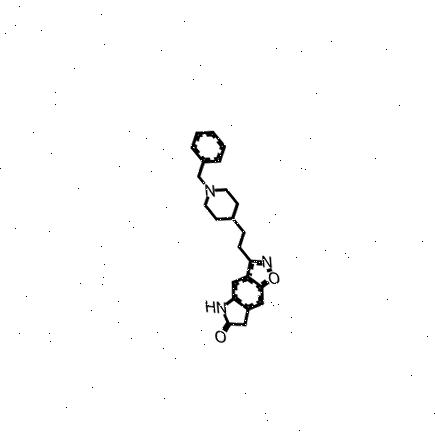 O=C1Cc2cc3onc(CCC4CCN(Cc5ccccc5)CC4)c3cc2N1